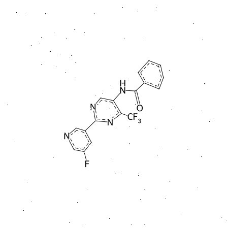 O=C(Nc1cnc(-c2cncc(F)c2)nc1C(F)(F)F)c1ccccc1